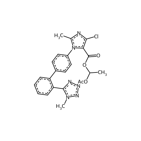 CC(=O)OC(C)OC(=O)c1c(Cl)nc(C)n1-c1ccc(-c2ccccc2-c2nnnn2C)cc1